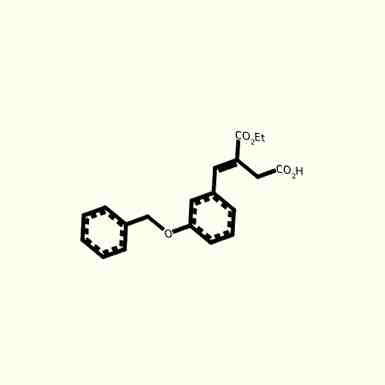 CCOC(=O)C(=Cc1cccc(OCc2ccccc2)c1)CC(=O)O